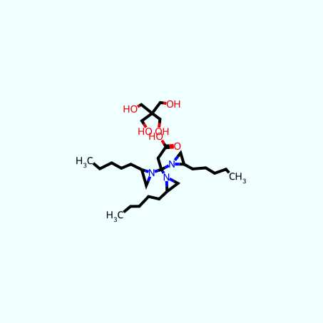 CCCCCC1CN1C(CC(=O)O)(N1CC1CCCCC)N1CC1CCCCC.OCC(CO)(CO)CO